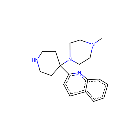 CN1CCN(C2(c3c[c]c4ccccc4n3)CCNCC2)CC1